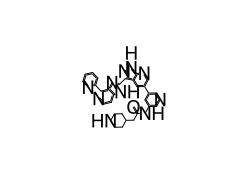 O=C(CC1CCNCC1)Nc1cncc(-c2cnc3[nH]nc(-c4nc5c(-c6ccccn6)nccc5[nH]4)c3c2)c1